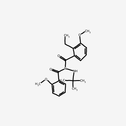 CCc1c(OC)cccc1C(=O)N(NC(C)(C)C)C(=O)c1ccccc1OC